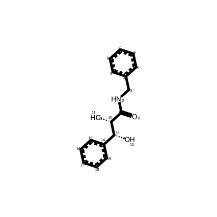 O=C(NCc1ccccc1)[C@@H](O)[C@H](O)c1ccccc1